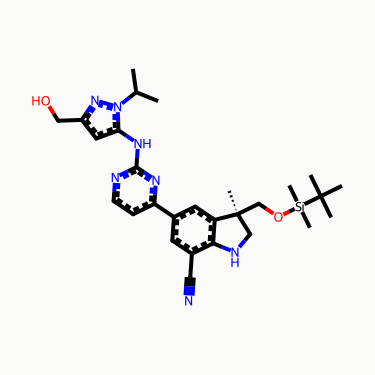 CC(C)n1nc(CO)cc1Nc1nccc(-c2cc(C#N)c3c(c2)[C@@](C)(CO[Si](C)(C)C(C)(C)C)CN3)n1